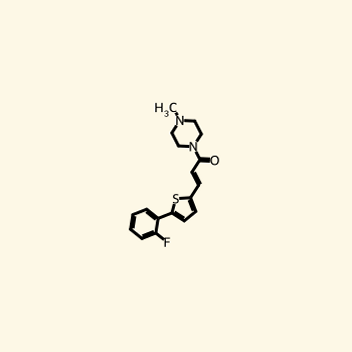 CN1CCN(C(=O)C=Cc2ccc(-c3ccccc3F)s2)CC1